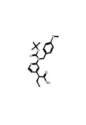 CCC(C(=O)O)c1ccnc(N(Cc2ccc(OC)cc2)C(=O)OC(C)(C)C)c1